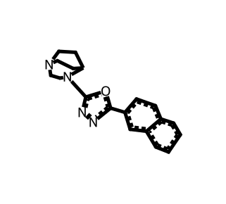 c1ccc2cc(-c3nnc(N4CCN5CCC4CC5)o3)ccc2c1